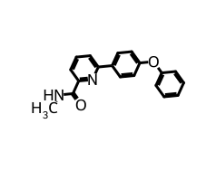 CNC(=O)c1cccc(-c2ccc(Oc3ccccc3)cc2)n1